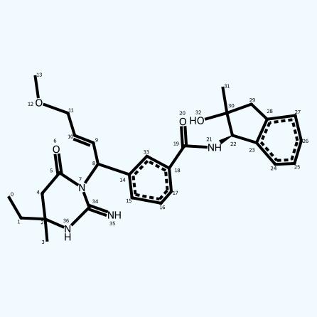 CCC1(C)CC(=O)N(C(/C=C/COC)c2cccc(C(=O)N[C@@H]3c4ccccc4CC3(C)O)c2)C(=N)N1